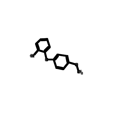 C[CH]c1ccccc1Oc1ccc(OC(F)(F)F)cc1